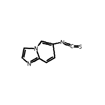 S=C=Nc1ccc2nccn2c1